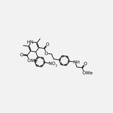 COC(=O)CNc1ccc(CCOC(=O)C2=C(C)NC(C)=C(C(=O)OC)C2c2cccc([N+](=O)[O-])c2)cc1